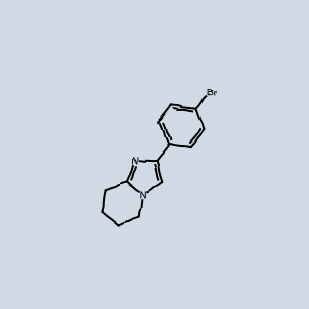 Brc1ccc(-c2cn3c(n2)CCCC3)cc1